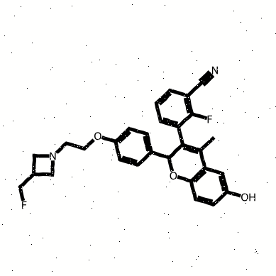 CC1=C(c2cccc(C#N)c2F)C(c2ccc(OCCN3CC(CF)C3)cc2)Oc2ccc(O)cc21